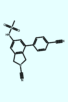 CS(=O)(=O)Nc1cc2c(c(-c3ccc(C#N)cc3)c1)CN(C#N)C2